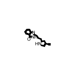 C#CC1=CCNC(CCCc2nc3ccccc3c(=O)[nH]2)C1